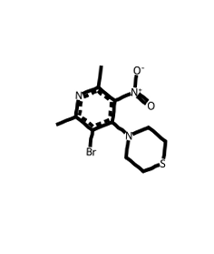 Cc1nc(C)c([N+](=O)[O-])c(N2CCSCC2)c1Br